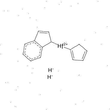 C1=CC[C]([Hf+2][CH]2C=Cc3ccccc32)=C1.[H-].[H-]